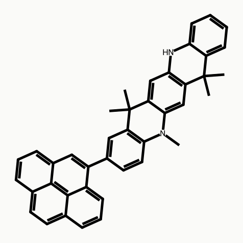 CN1c2ccc(-c3cc4cccc5ccc6cccc3c6c54)cc2C(C)(C)c2cc3c(cc21)C(C)(C)c1ccccc1N3